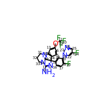 NC1=NC(c2ccc(OC(F)(F)F)cc2)(c2ccc(F)c(N3C=C(F)C=NC3)c2)C2=NCCCN12